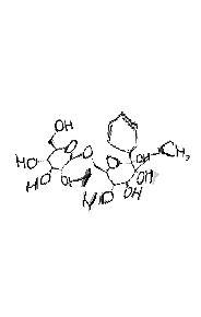 CC#C[C@@]1(O)[C@@H](O)[C@H](O)[C@@H](CO[C@@H]2O[C@H](CO)[C@@H](O)[C@H](O)[C@H]2O)O[C@@]1(O)c1ccccc1